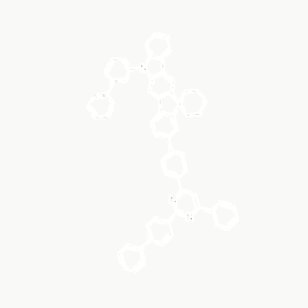 c1ccc(-c2ccc(-c3nc(-c4ccccc4)cc(-c4ccc(-c5ccc6c(c5)C5(CCCCC5)c5cc7c8ccccc8n(-c8cccc(-c9ccccc9)c8)c7cc5-6)cc4)n3)cc2)cc1